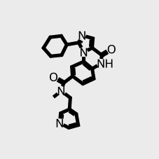 CN(Cc1cccnc1)C(=O)c1ccc2[nH]c(=O)c3cnc(C4CCCCC4)n3c2c1